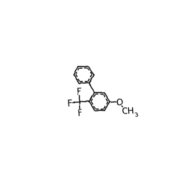 COc1ccc(C(F)(F)F)c(-c2ccccc2)c1